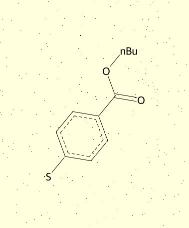 CCCCOC(=O)c1ccc([S])cc1